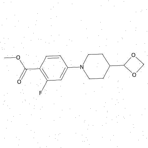 COC(=O)c1ccc(N2CCC(C3OCO3)CC2)cc1F